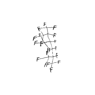 FC(F)(F)C(F)(C(F)(F)F)C(F)(F)C(F)(C(F)(F)F)C(F)(C(F)(F)F)C(F)(F)F